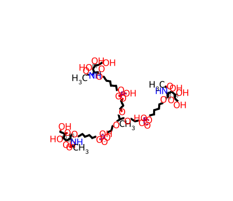 CC(=O)NC1C(O)[C@@H](O)C(CO)O[C@H]1OCCCCCCOP(=O)(O)OCCCOCC(C)(COCCCOP(=O)(O)OCCCCCCO[C@@H]1OC(CO)[C@H](O)C(O)[C@@H]1NC(C)=O)COCCCOP(=O)(O)OCCCCCCO[C@@H]1OC(CO)[C@H](O)C(O)[C@@H]1NC(C)=O